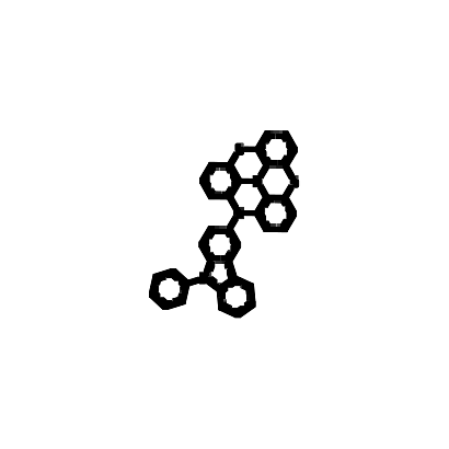 c1ccc(-n2c3ccccc3c3cc(N4c5cccc6c5B5c7c(cccc7Sc7cccc4c75)S6)ccc32)cc1